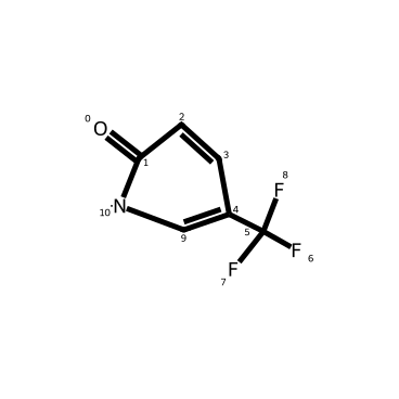 O=C1C=CC(C(F)(F)F)=[C][N]1